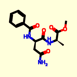 COC(=O)[C@H](C)NC(=O)[C@@H](CC(N)=O)NC(=O)c1ccccc1